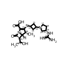 C[C@@H](O)[C@H]1C(=O)N2C(C(=O)O)=C(SC3CC(N4CC[C@H](NC(=N)N)C4)C3)[C@H](C)[C@H]12